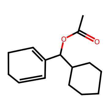 CC(=O)OC(C1=CCCC=C1)C1CCCCC1